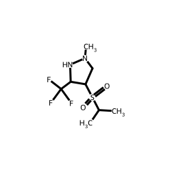 CC(C)S(=O)(=O)C1CN(C)NC1C(F)(F)F